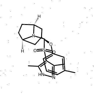 Cc1cccc(O[C@H]2C[C@H]3CC[C@@H](C2)N3CS(=O)(=O)c2c(C)n[nH]c2C)c1